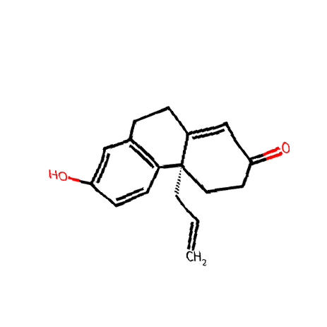 C=CC[C@@]12CCC(=O)C=C1CCc1cc(O)ccc12